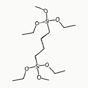 CCO[Si](CCCC[Si](OC)(OCC)OCC)(OC)OCC